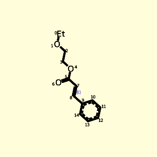 CCOCCOC(=O)/C=C/c1ccccc1